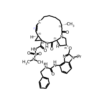 CC(C)n1c(O[C@@H]2C[C@H]3C(=O)N[C@]4(C(=O)NS(=O)(=O)N(C)C)C[C@H]4/C=C\CCCCC[C@H](C)C(=O)N3C2)nc2c(NC(=O)NCc3ccccc3)cccc21